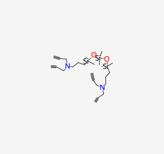 C#CCN(CC#C)CCC[Si](C)(C)O[Si](C)(C)O[Si](C)(C)CCCN(CC#C)CC#C